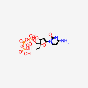 CC[C@]1(COP(=O)(O)OP(=O)(O)OP(=O)(O)O)OC(n2ccc(N)nc2=O)=C[C@@H]1O